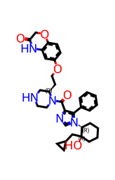 O=C1COc2ccc(OCC[C@@H]3CNCCN3C(=O)c3ncn([C@@H]4CCCC[C@@]4(O)CC4CC4)c3-c3ccccc3)cc2N1